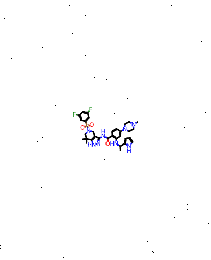 CC(Nc1cc(N2CCN(C)CC2)ccc1C(=O)Nc1n[nH]c2c1CN(S(=O)(=O)c1cc(F)cc(F)c1)CC2(C)C)c1ccc[nH]1